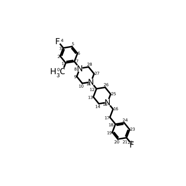 Cc1cc(F)ccc1N1CCN(C2CCN(CCc3ccc(F)cc3)CC2)CC1